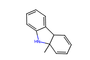 CC12C=CC=CC1c1ccccc1N2